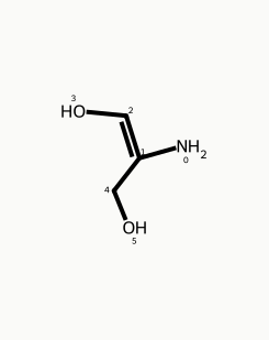 N/C(=C/O)CO